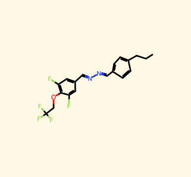 CCCc1ccc(C=NN=Cc2cc(F)c(OCC(F)(F)F)c(F)c2)cc1